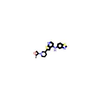 C[C@H]1OC[C@H]1N1CCCC(c2cc3c(Nc4ccc5scnc5c4)ccnc3s2)C1